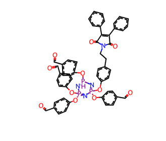 O=Cc1ccc(O[PH]2=NP(Oc3ccc(C=O)cc3)(Oc3ccc(C=O)cc3)=NP(Oc3ccc(C=O)cc3)(Oc3ccc(CCN4C(=O)C(c5ccccc5)=C(c5ccccc5)C4=O)cc3)=N2)cc1